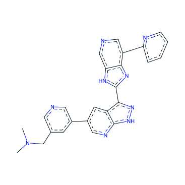 CN(C)Cc1cncc(-c2cnc3[nH]nc(-c4nc5c(-c6ccccn6)cncc5[nH]4)c3c2)c1